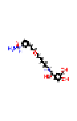 NC(=O)Nc1cccc(CCCOCCCCCCCNC[C@H](O)c2ccc(O)c(CO)c2)c1